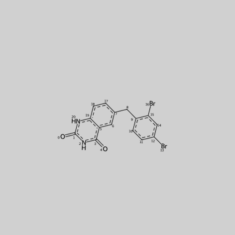 O=c1[nH]c(=O)c2cc(Cc3ccc(Br)cc3Br)ccc2[nH]1